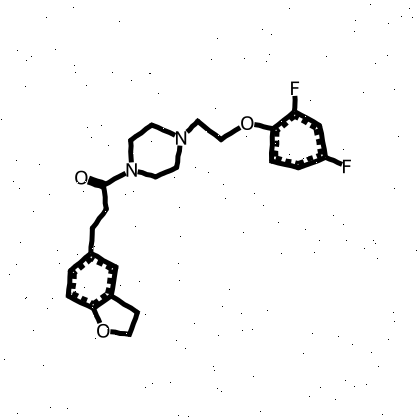 O=C(CCc1ccc2c(c1)CCO2)N1CCN(CCOc2ccc(F)cc2F)CC1